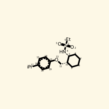 CCS(=O)(=O)N[C@@H]1CCCC[C@@H]1COc1ccc(C(C)C)cc1